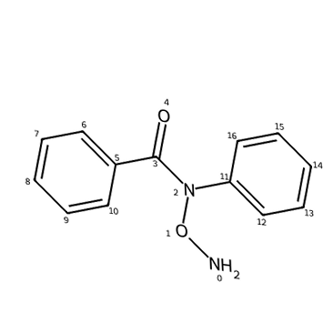 NON(C(=O)c1ccccc1)c1ccccc1